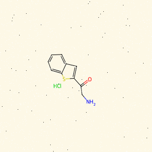 Cl.NCC(=O)c1cc2ccccc2s1